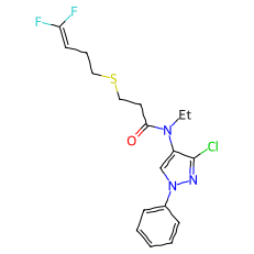 CCN(C(=O)CCSCCC=C(F)F)c1cn(-c2ccccc2)nc1Cl